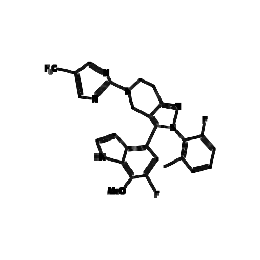 COc1c(F)cc(-c2c3c(nn2-c2c(C)cccc2F)CCN(c2ncc(C(F)(F)F)cn2)C3)c2cc[nH]c12